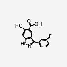 O=C(O)c1cc2c(-c3cccc(F)c3)n[nH]c2cc1O